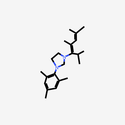 CC(C)=C/C(C)=C(\C(C)C)N1CCN(c2c(C)cc(C)cc2C)C1